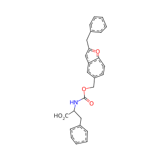 O=C(NC(Cc1ccccc1)C(=O)O)OCc1ccc2oc(Cc3ccccc3)cc2c1